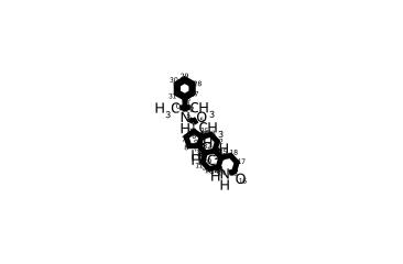 CC(C)(NC(=O)[C@H]1CC[C@H]2[C@@H]3CC[C@H]4NC(=O)CC[C@]4(C)[C@H]3CC[C@]12C)c1ccccc1